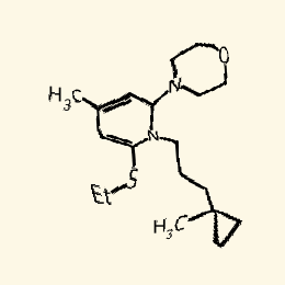 CCSC1=CC(C)=CC(N2CCOCC2)N1CCCC1(C)CC1